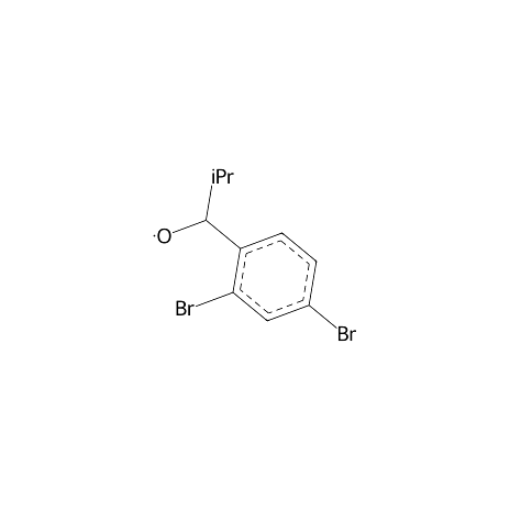 CC(C)C([O])c1ccc(Br)cc1Br